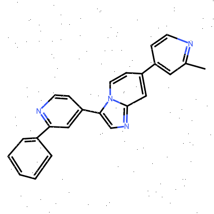 Cc1cc(-c2ccn3c(-c4ccnc(-c5ccccc5)c4)cnc3c2)ccn1